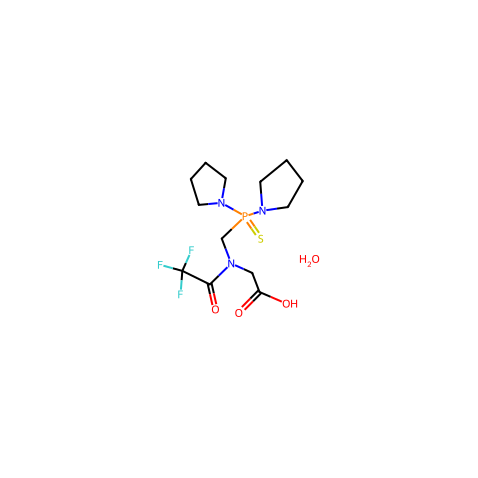 O.O=C(O)CN(CP(=S)(N1CCCC1)N1CCCC1)C(=O)C(F)(F)F